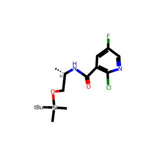 C[C@@H](CO[Si](C)(C)C(C)(C)C)NC(=O)c1cc(F)cnc1Cl